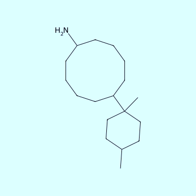 CC1CCC(C)(C2CCCCC(N)CCCC2)CC1